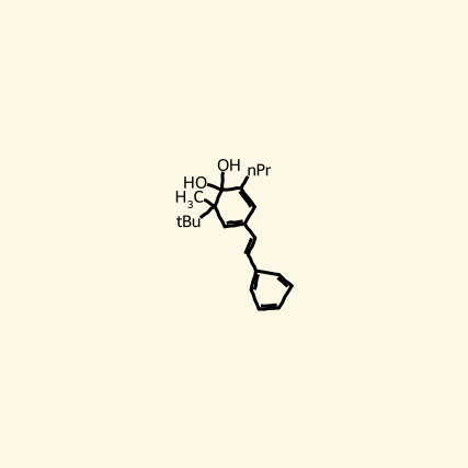 CCCC1=CC(C=Cc2ccccc2)=CC(C)(C(C)(C)C)C1(O)O